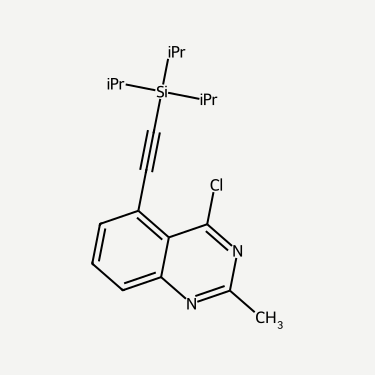 Cc1nc(Cl)c2c(C#C[Si](C(C)C)(C(C)C)C(C)C)cccc2n1